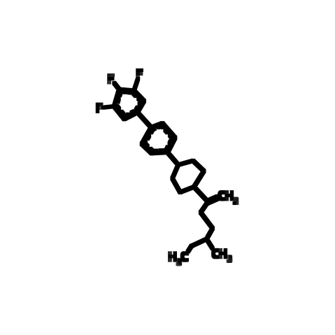 C=C(CCC(C)CC)C1CCC(c2ccc(-c3cc(F)c(F)c(F)c3)cc2)CC1